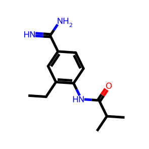 CCc1cc(C(=N)N)ccc1NC(=O)C(C)C